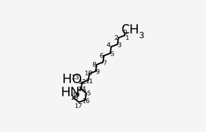 CCCCCCCCCCCCC(O)C1CCCCN1